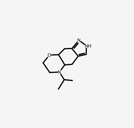 CC(C)N1CCOC2Cc3n[nH]cc3CC21